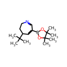 CC(C)(C)C1C=C(B2OC(C)(C)C(C)(C)O2)C=NCC1